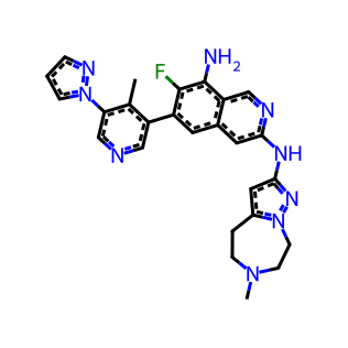 Cc1c(-c2cc3cc(Nc4cc5n(n4)CCN(C)CC5)ncc3c(N)c2F)cncc1-n1cccn1